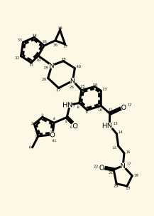 Cc1ccc(C(=O)Nc2cc(C(=O)NCCCN3CCCC3=O)ccc2N2CCN(c3ccccc3C3CC3)CC2)o1